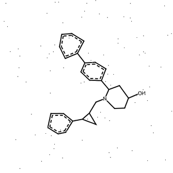 OC1CCN(CC2CC2c2ccccc2)C(c2ccc(-c3ccccc3)cc2)C1